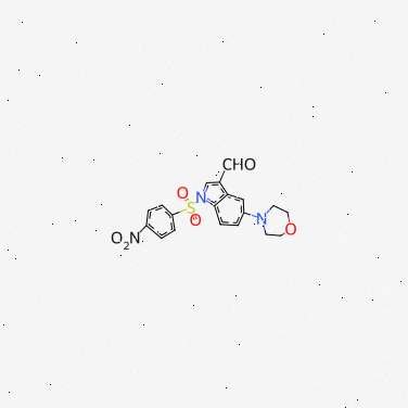 O=Cc1cn(S(=O)(=O)c2ccc([N+](=O)[O-])cc2)c2ccc(N3CCOCC3)cc12